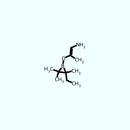 CCC1(C)B(O/C(C)=C/N)C1(C)C